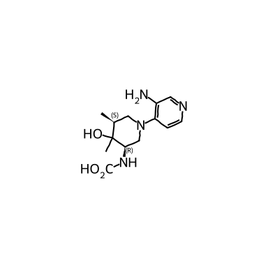 C[C@H]1CN(c2ccncc2N)C[C@@H](NC(=O)O)C1(C)O